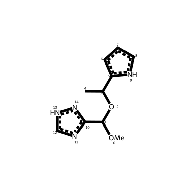 CO[C](OC(C)c1ccc[nH]1)c1nc[nH]n1